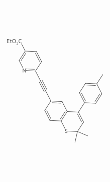 CCOC(=O)c1ccc(C#Cc2ccc3c(c2)C(c2ccc(C)cc2)=CC(C)(C)S3)nc1